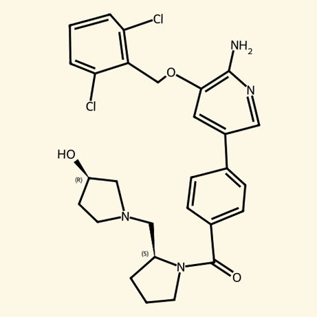 Nc1ncc(-c2ccc(C(=O)N3CCC[C@H]3CN3CC[C@@H](O)C3)cc2)cc1OCc1c(Cl)cccc1Cl